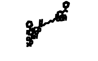 CC(C1=CC=NC(O)(OCCCCCCNC(=O)Cn2c(-c3ccccc3)ncc(NC(=O)OC(C)(C)C)c2=O)C1=O)c1ccccc1